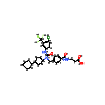 O=C(O)CCNC(=O)c1ccc(CN(C(=O)Nc2ccc(Cl)c(C(F)(F)F)c2)C2CCC(C3CCCCC3)CC2)cc1